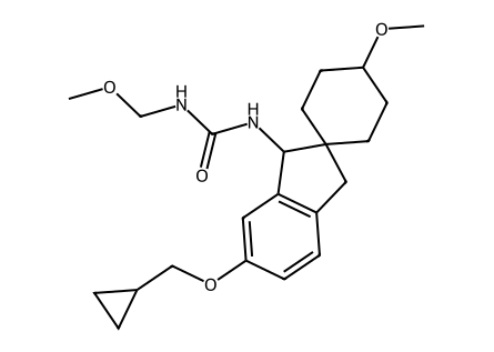 COCNC(=O)NC1c2cc(OCC3CC3)ccc2CC12CCC(OC)CC2